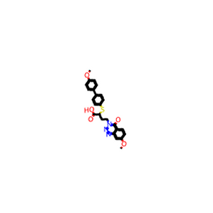 COc1ccc(-c2ccc(SC(CCn3nnc4cc(OC)ccc4c3=O)C(=O)O)cc2)cc1